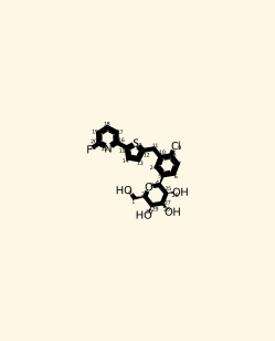 OC[C@H]1O[C@@H](c2ccc(Cl)c(Cc3ccc(-c4cccc(F)n4)s3)c2)[C@H](O)[C@@H](O)[C@@H]1O